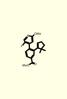 COC(=O)c1ccc(-c2cc(OC)ncc2F)c(C2=CCCC2(C)C)c1